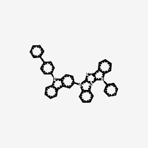 c1ccc(-c2ccc(-n3c4ccccc4c4cc(-n5c6ccccc6n6c5nc5c7ccccc7n(-c7ccccc7)c56)ccc43)cc2)cc1